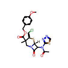 COc1ccc(COC(=O)C2(C)CN3C(=O)C(N(C(C)=O)c4nncs4)[C@H]3SC2=CCl)cc1